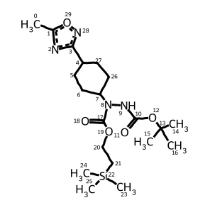 Cc1nc(C2CCC(N(NC(=O)OC(C)(C)C)C(=O)OCC[Si](C)(C)C)CC2)no1